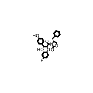 O=C1OC[C@H](Cc2ccccc2)N1C(=O)[C@@H](Oc1ccc(F)cc1)[C@H](O)c1ccc(O)cc1